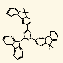 CC1(C)c2ccccc2-c2cc(-c3nc(-c4ccc5c(c4)-c4ccccc4C5(C)C)nc(-n4c5ncccc5c5cccnc54)n3)ccc21